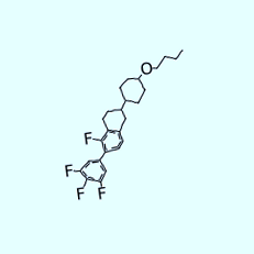 CCCCOC1CCC(C2CCc3c(ccc(-c4cc(F)c(F)c(F)c4)c3F)C2)CC1